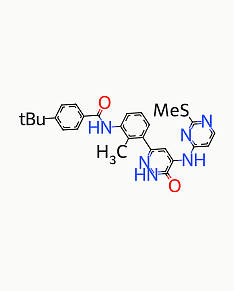 CSc1nccc(Nc2cc(-c3cccc(NC(=O)c4ccc(C(C)(C)C)cc4)c3C)n[nH]c2=O)n1